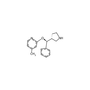 Cc1ccnc(O[C@H](c2ccccc2)[C@@H]2CCNC2)c1